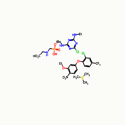 CCNc1nc(Cl)nc(NC(C)(C)C)n1.CCOc1cc(Oc2ccc(C(F)(F)F)cc2Cl)ccc1[N+](=O)[O-].C[S+](C)C.O=C(O)CNCP(=O)([O-])O